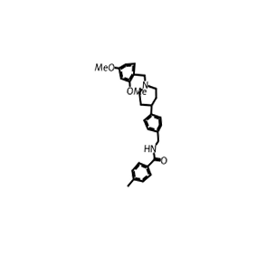 COc1ccc(CN2CCC(c3ccc(CNC(=O)c4ccc(C)cc4)cc3)CC2)c(OC)c1